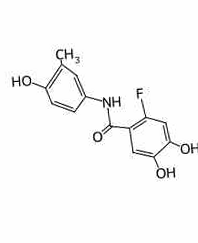 Cc1cc(NC(=O)c2cc(O)c(O)cc2F)ccc1O